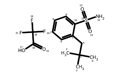 CC(C)(C)Cc1ccccc1S(N)(=O)=O.O=C(O)C(F)(F)F